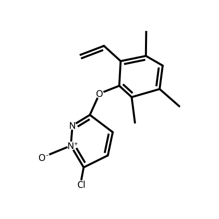 C=Cc1c(C)cc(C)c(C)c1Oc1ccc(Cl)[n+]([O-])n1